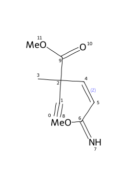 C#CC(C)(/C=C\C(=N)OC)C(=O)OC